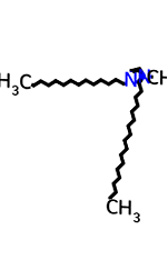 CCCCCCCCCCCCCCCCCc1n(C)cc[n+]1CCCCCCCCCCCCCC